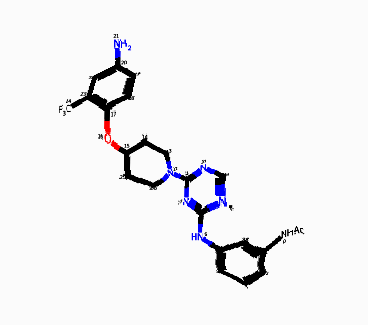 CC(=O)Nc1cccc(Nc2ncnc(N3CCC(Oc4ccc(N)cc4C(F)(F)F)CC3)n2)c1